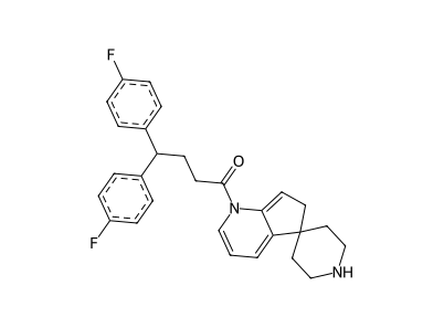 O=C(CCC(c1ccc(F)cc1)c1ccc(F)cc1)N1C=CC=C2C1=CCC21CCNCC1